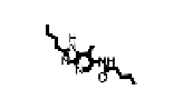 CCCCC(=O)Nc1cnc2nc(CCCC)[nH]c2c1C